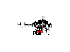 CCCCCCN1CCC(c2ccc(C(=O)N3CCN(C4COC4)CC3)cc2)C(NC(=O)C(C(N)N)C2CC34CC3(CCCC)CC(F)CN24)C1